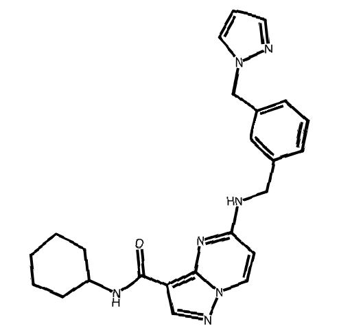 O=C(NC1CCCCC1)c1cnn2ccc(NCc3cccc(Cn4cccn4)c3)nc12